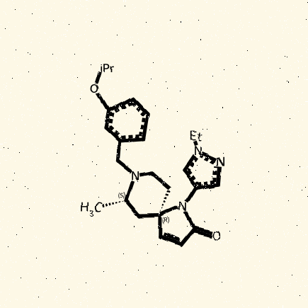 CCn1cc(N2C(=O)C=C[C@]23CCN(Cc2cccc(OC(C)C)c2)[C@@H](C)C3)cn1